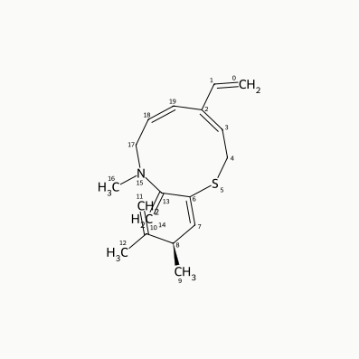 C=CC1=C/CS/C(=C/[C@@H](C)C(=C)C)C(=C)N(C)C/C=C\1